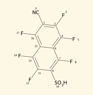 N#Cc1c(F)c(F)c2c(F)c(S(=O)(=O)O)c(F)c(F)c2c1F